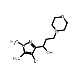 Cc1c(Br)c(C(O)CCN2CCOCC2)nn1C